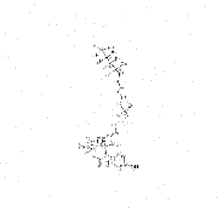 C[C@]12C[C@H](F)[C@@H]3c4ccc(O)cc4C[C@@H](CCCCC[N+](C)([O-])CCCCCCC(F)(F)C(F)(F)C(F)(F)C(F)(F)F)[C@H]3[C@@H]1CCC2=O